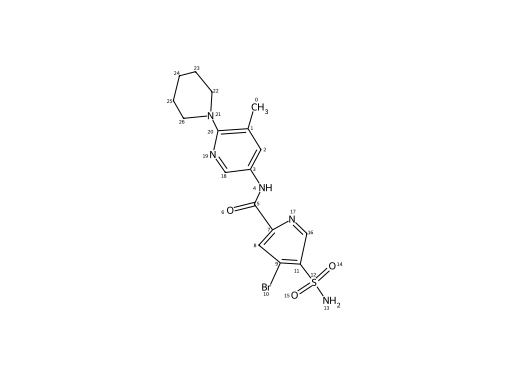 Cc1cc(NC(=O)c2cc(Br)c(S(N)(=O)=O)cn2)cnc1N1CCCCC1